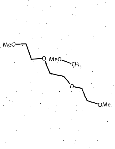 COC.COCCOCCOCCOC